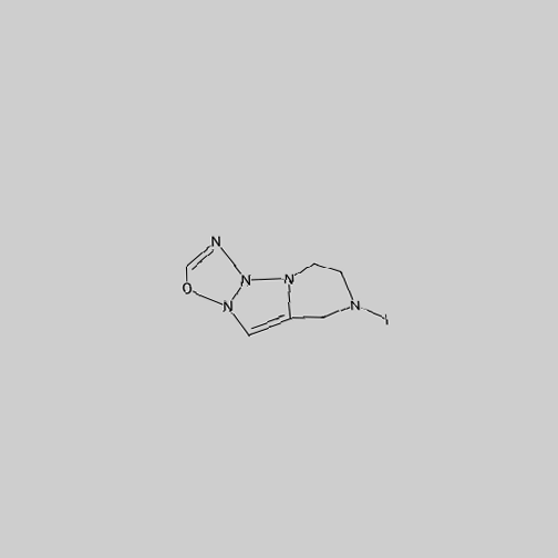 IN1CCN2C(=CN3OC=NN32)C1